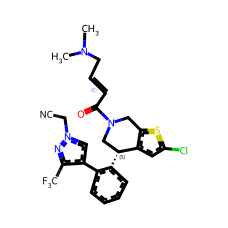 CN(C)C/C=C/C(=O)N1Cc2sc(Cl)cc2[C@H](c2ccccc2-c2cn(CC#N)nc2C(F)(F)F)C1